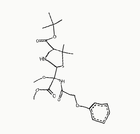 COC(=O)C(NC(=O)COc1ccccc1)(OC)C1NC(C(=O)OC(C)(C)C)C(C)(C)S1